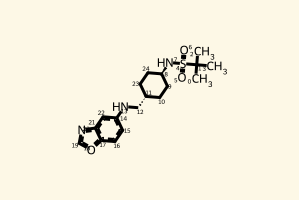 CC(C)(C)S(=O)(=O)N[C@H]1CC[C@H](CNc2ccc3ocnc3c2)CC1